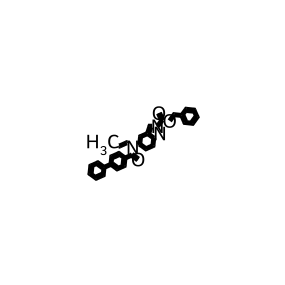 CCCN(C(=O)c1ccc(-c2ccccc2)cc1)C1CCc2nn(C(=O)OCc3ccccc3)cc2C1